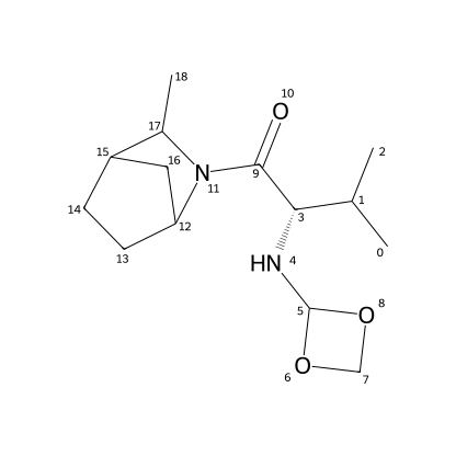 CC(C)[C@H](NC1OCO1)C(=O)N1C2CCC(C2)C1C